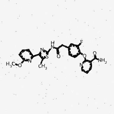 COc1cccc(-c2nc(NC(=O)Cc3ccc(Oc4ncccc4C(N)=O)c(F)c3)sc2C)n1